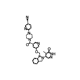 Cc1c(N2Cc3ccccc3[C@H]2COc2cncc(C(=O)N3CCN(c4ccc(C#N)cn4)CC3)c2)cn[nH]c1=O